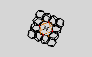 Cc1ccccc1[PH](c1ccccc1C)(c1ccccc1C)[Pd]([PH](c1ccccc1C)(c1ccccc1C)c1ccccc1C)([PH](c1ccccc1C)(c1ccccc1C)c1ccccc1C)[PH](c1ccccc1C)(c1ccccc1C)c1ccccc1C